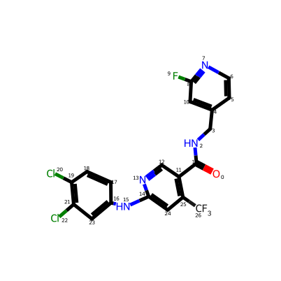 O=C(NCc1ccnc(F)c1)c1cnc(Nc2ccc(Cl)c(Cl)c2)cc1C(F)(F)F